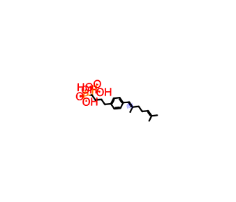 CC(C)=CCC/C(C)=C/c1ccc(CCCC(P(=O)(O)O)P(=O)(O)O)cc1